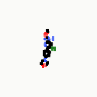 CCOc1nc2nc(-c3ccc(N4CCOCC4)cc3)c(Cl)cc2[nH]1